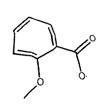 COc1ccccc1C([O])=O